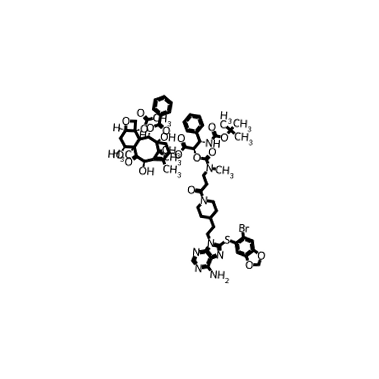 CC(=O)O[C@@]12CO[C@@H]1C[C@H](O)[C@@]1(C)C(=O)[C@H](O)C3=C(C)[C@@H](OC(=O)[C@H](OC(=O)N(C)CCC(=O)N4CCC(CCn5c(Sc6cc7c(cc6Br)OCO7)nc6c(N)ncnc65)CC4)[C@@H](NC(=O)OC(C)(C)C)c4ccccc4)C[C@@](O)([C@@H](OC(=O)c4ccccc4)[C@H]21)C3(C)C